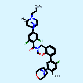 COCCN1CC2CC[C@H]1CN2c1cc(Cl)c(C(=O)N2COc3c(cccc3-c3cc(N4C5CCC4COC5)c(C(=O)O)cc3F)C2)c(Cl)c1